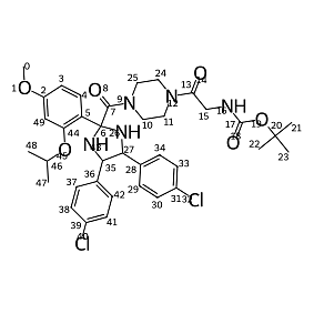 COc1ccc(C2(C(=O)N3CCN(C(=O)CNC(=O)OC(C)(C)C)CC3)NC(c3ccc(Cl)cc3)C(c3ccc(Cl)cc3)N2)c(OC(C)C)c1